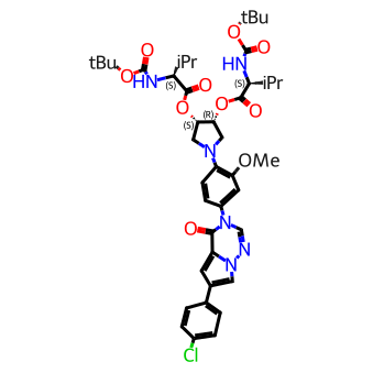 COc1cc(-n2cnn3cc(-c4ccc(Cl)cc4)cc3c2=O)ccc1N1C[C@H](OC(=O)[C@@H](NC(=O)OC(C)(C)C)C(C)C)[C@H](OC(=O)[C@@H](NC(=O)OC(C)(C)C)C(C)C)C1